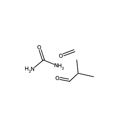 C=O.CC(C)C=O.NC(N)=O